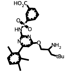 Cc1ccc(C)c(-c2cc(OCC(N)CC(C)(C)C)nc(NS(=O)(=O)c3cccc(C(=O)O)c3)n2)c1C